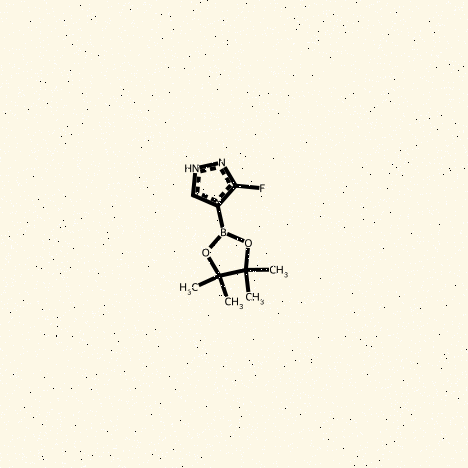 CC1(C)OB(c2c[nH]nc2F)OC1(C)C